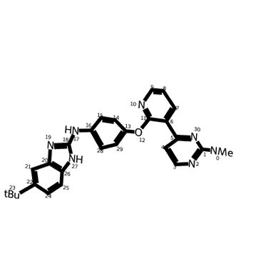 CNc1nccc(-c2cccnc2Oc2ccc(Nc3nc4cc(C(C)(C)C)ccc4[nH]3)cc2)n1